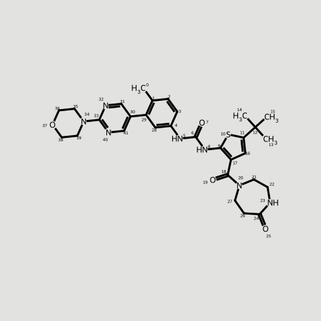 Cc1ccc(NC(=O)Nc2sc(C(C)(C)C)cc2C(=O)N2CCNC(=O)CC2)cc1-c1cnc(N2CCOCC2)nc1